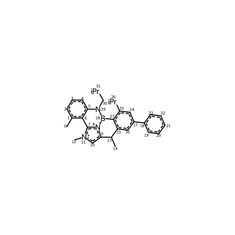 Cc1cccc2c1-c1n3c(c[n+]1C)C(C)c1cc(-c4ccccc4)cc(C(C)C)c1B3N2CC(C)C